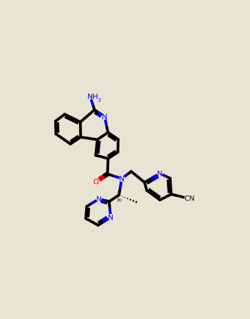 C[C@H](c1ncccn1)N(Cc1ccc(C#N)cn1)C(=O)c1ccc2nc(N)c3ccccc3c2c1